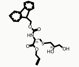 C=CCOC(=O)[C@@H](CSC[C@H](O)CO)NC(=O)OCC1c2ccccc2-c2ccccc21